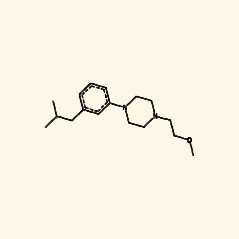 COCCN1CCN(c2cccc(C[C](C)C)c2)CC1